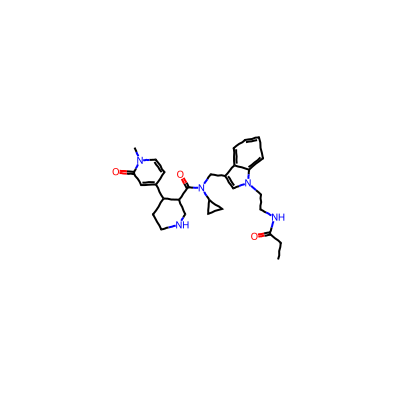 CCC(=O)NCCn1cc(CN(C(=O)C2CNCCC2c2ccn(C)c(=O)c2)C2CC2)c2ccccc21